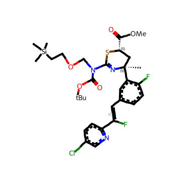 COC(=O)[C@@H]1C[C@@](C)(c2cc(/C=C(\F)c3ccc(Cl)cn3)ccc2F)N=C(N(COCC[Si](C)(C)C)C(=O)OC(C)(C)C)S1